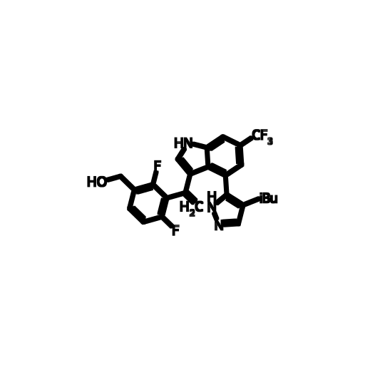 C=C(c1c(F)ccc(CO)c1F)c1c[nH]c2cc(C(F)(F)F)cc(-c3[nH]ncc3C(C)CC)c12